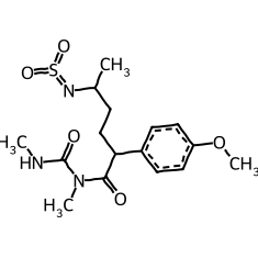 CNC(=O)N(C)C(=O)C(CCC(C)N=S(=O)=O)c1ccc(OC)cc1